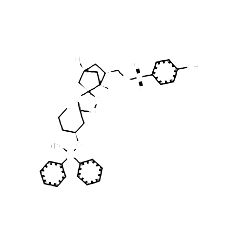 Cc1ccc(S(=O)(=O)OC[C@@H]2C[C@@H]3C[C@H]2[C@]2(C3)OO[C@]3(CCC[C@H](O[Si](c4ccccc4)(c4ccccc4)C(C)(C)C)C3)O2)cc1